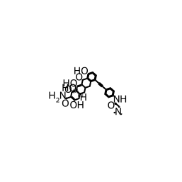 CN(C)CC(=O)Nc1ccc(C#Cc2ccc(O)c3c2CC2C[C@H]4CC(O)=C(C(N)=O)C(=O)[C@@]4(O)C(O)=C2C3=O)cc1